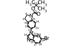 CC(C)(C)OC(=O)N1CCc2cc(-n3cnc4ccc(Br)nc43)ccc21